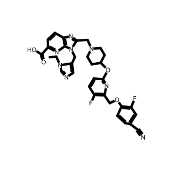 CCn1cncc1Cn1c(CN2CCC(Oc3ccc(F)c(COc4ccc(C#N)cc4F)n3)CC2)nc2ccc(C(=O)O)nc21